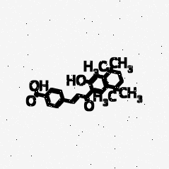 CC1(C)CCC(C)(C)c2cc(C(=O)/C=C/c3ccc(C(=O)O)cc3)c(O)cc21